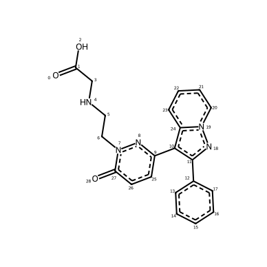 O=C(O)CNCCn1nc(-c2c(-c3ccccc3)nn3ccccc23)ccc1=O